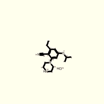 CCc1cc(OC(C)C)cc(N2CCNCC2)c1C#N.Cl